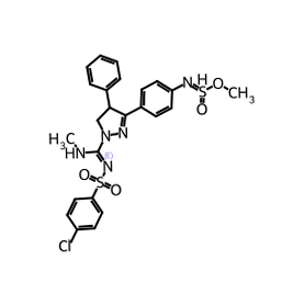 CN/C(=N\S(=O)(=O)c1ccc(Cl)cc1)N1CC(c2ccccc2)C(c2ccc(N=[SH](=O)OC)cc2)=N1